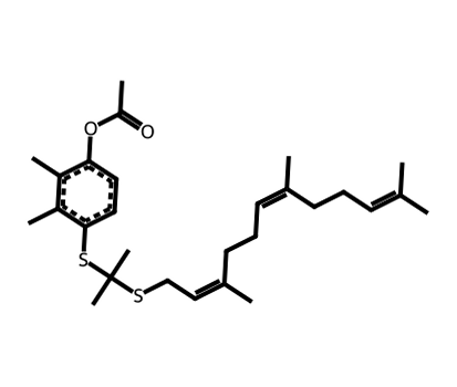 CC(=O)Oc1ccc(SC(C)(C)SCC=C(C)CCC=C(C)CCC=C(C)C)c(C)c1C